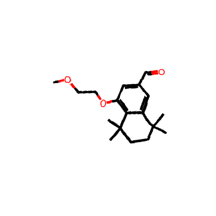 COCCOc1cc(C=O)cc2c1C(C)(C)CCC2(C)C